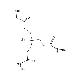 CC(C)(C)NC(=O)CCC(CCC(=O)NC(C)(C)C)(CCC(=O)NC(C)(C)C)C(C)(C)C